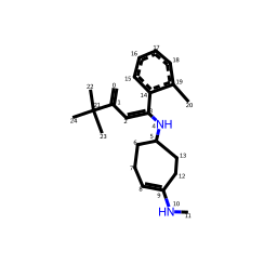 C=C(/C=C(/NC1CCC=C(NC)CC1)c1ccccc1C)C(C)(C)C